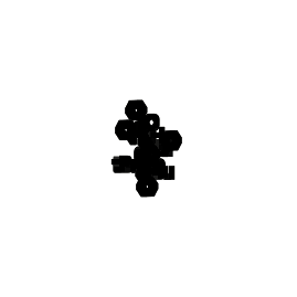 CC(C)(C)[Si](Cc1ccccc1)(OC(=O)[C@H](Cc1ccccc1)NC(=O)[C@H](Cc1ccccc1)NOC(=O)c1ccccc1)C(C)(C)C